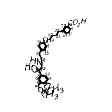 CC1(C)OCc2cc([C@@H](O)CNCCc3ccc(OCCCCc4cccc(C(=O)O)c4)cc3)ccc2O1